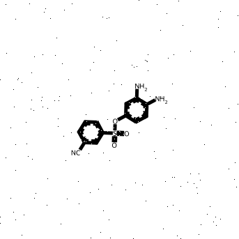 N#Cc1cccc(S(=O)(=O)Oc2ccc(N)c(N)c2)c1